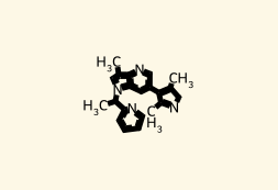 CC1=NCC(C)=C1c1cnc2c(C)cn(C(C)c3ccccn3)c2c1